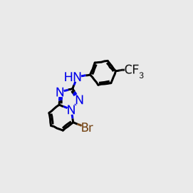 FC(F)(F)c1ccc(Nc2nc3cccc(Br)n3n2)cc1